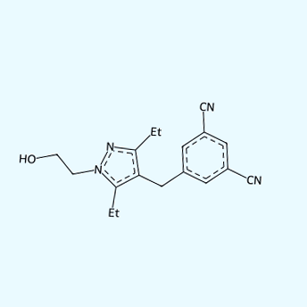 CCc1nn(CCO)c(CC)c1Cc1cc(C#N)cc(C#N)c1